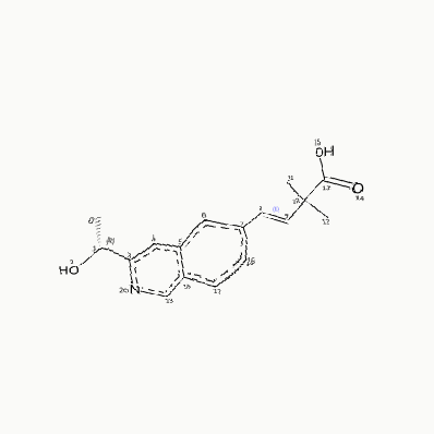 C[C@@H](O)c1cc2cc(/C=C/C(C)(C)C(=O)O)ccc2cn1